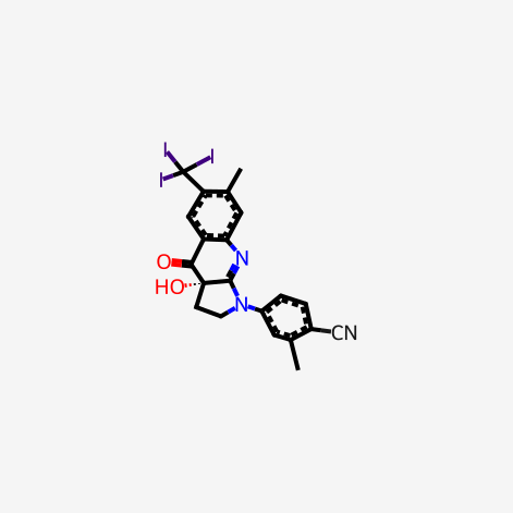 Cc1cc(N2CC[C@@]3(O)C(=O)c4cc(C(I)(I)I)c(C)cc4N=C23)ccc1C#N